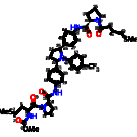 COC(=O)NC(CCSC)C(=O)N1CCCC1C(=O)Nc1ccc([C@H]2CC[C@H](c3ccc(NC(=O)[C@@H]4CCCN4C(=O)[CH]CCSC)cc3)N2c2ccc(C(F)(F)F)cc2)cc1